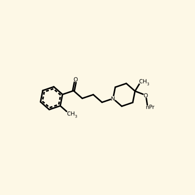 CCCOC1(C)CCN(CCCC(=O)c2ccccc2C)CC1